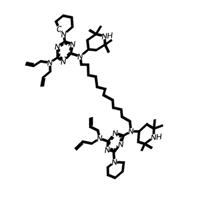 C=CCN(CC=C)c1nc(N2CCCCC2)nc(N(CCCCCCCCCCCCN(c2nc(N(CC=C)CC=C)nc(N3CCCCC3)n2)C2CC(C)(C)NC(C)(C)C2)C2CC(C)(C)NC(C)(C)C2)n1